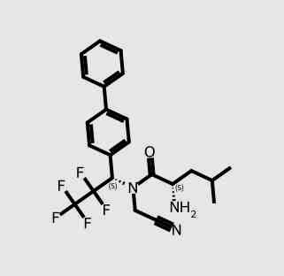 CC(C)C[C@H](N)C(=O)N(CC#N)[C@@H](c1ccc(-c2ccccc2)cc1)C(F)(F)C(F)(F)F